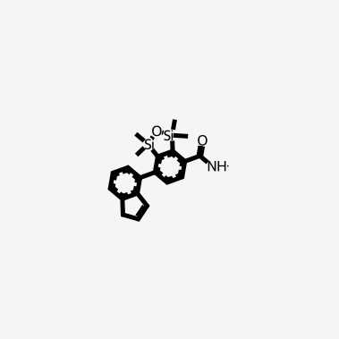 C[Si]1(C)O[Si](C)(C)c2c(-c3cccc4c3C=CC4)ccc(C([NH])=O)c21